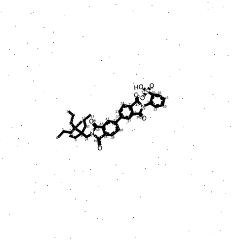 CCCC(C)(CCC)C(CC)(CCC)CN1C(=O)c2ccc(-c3ccc4c(c3)C(=O)N(c3ccccc3S(=O)(=O)O)C4=O)cc2C1=O